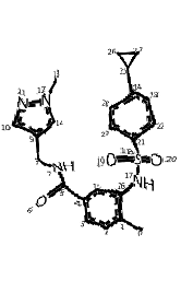 Cc1ccc(C(=O)NCc2cnn(C)c2)cc1NS(=O)(=O)c1ccc(C2CC2)cc1